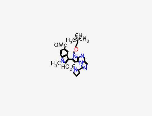 COc1ccc2c(c1)c(-c1cc3c(ncc4cnc(C5CCCN5C(=O)O)n43)n1COCC[Si](C)(C)C)cn2C